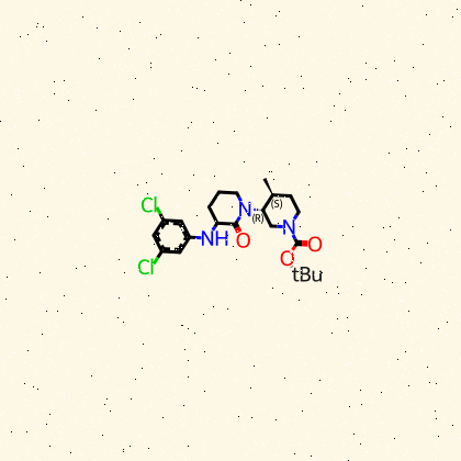 C[C@H]1CCN(C(=O)OC(C)(C)C)C[C@@H]1N1CCCC(Nc2cc(Cl)cc(Cl)c2)C1=O